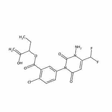 C=C(O)C(CC)OC(=O)c1cc(-n2c(=O)cc(C(F)F)n(N)c2=O)ccc1Cl